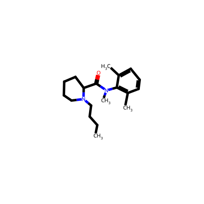 CCCCN1CCCCC1C(=O)N(C)c1c(C)cccc1C